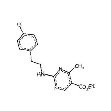 CCOC(=O)c1cnc(NCCc2ccc(Cl)cc2)nc1C